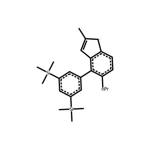 CCCc1ccc2c(c1-c1cc([Si](C)(C)C)cc([Si](C)(C)C)c1)C=C(C)[CH]2